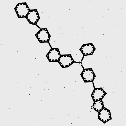 c1ccc(N(c2ccc(-c3ccc4c(c3)oc3ccccc34)cc2)c2ccc3ccc(-c4ccc(-c5ccc6ccccc6c5)cc4)cc3c2)cc1